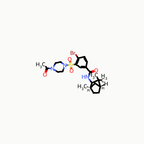 CC(=O)N1CCN(S(=O)(=O)c2cc(C(=O)NC3C(C)(C)[C@@H]4CC[C@]3(C)C4)ccc2Br)CC1